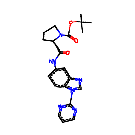 CC(C)(C)OC(=O)N1CCC[C@@H]1C(=O)Nc1ccc2c(c1)ncn2-c1ncccn1